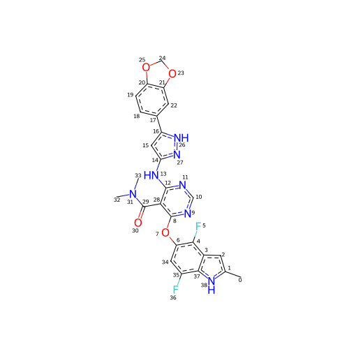 Cc1cc2c(F)c(Oc3ncnc(Nc4cc(-c5ccc6c(c5)OCO6)[nH]n4)c3C(=O)N(C)C)cc(F)c2[nH]1